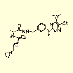 CCc1ncc(Nc2cccc(CCNC(=O)C(C)N(C)C(=O)/C=C/CN3CCC3)c2)nc1N(C)C